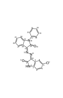 O=C1Nc2ccc(Cl)cc2C1=NN=C1C(=O)N(c2ccccc2)c2ccccc21